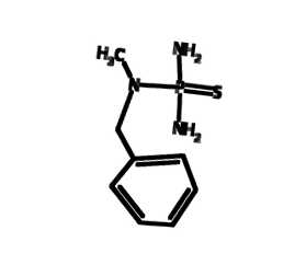 CN(Cc1ccccc1)P(N)(N)=S